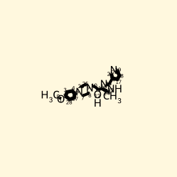 COc1ccc(N2CCN(CC(O)c3nc(-c4cccnc4)[nH]c3C)CC2)cc1